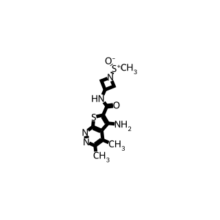 Cc1nnc2sc(C(=O)NC3CN([S+](C)[O-])C3)c(N)c2c1C